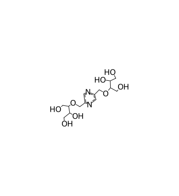 OCC(O)C(CO)OCc1cnc(COC(CO)C(O)CO)cn1